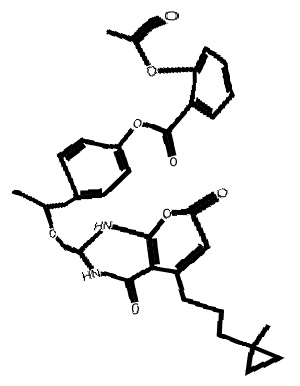 CC(=O)Oc1ccccc1C(=O)Oc1ccc(C(C)OC2NC(=O)c3c(CCCC4(C)CC4)cc(=O)oc3N2)cc1